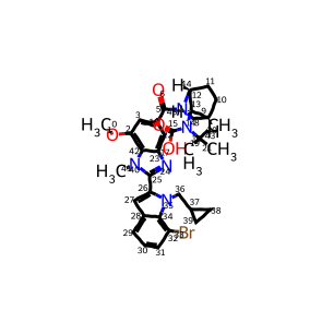 COc1cc(C(=O)N2C[C@H]3CC[C@@H]2[C@@H]3N(C(=O)O)C(C)(C)C)cc2nc(-c3cc4cccc(Br)c4n3CC3CC3)n(C)c12